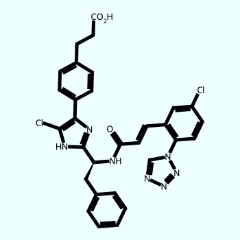 O=C(O)CCc1ccc(-c2nc([C@H](Cc3ccccc3)NC(=O)/C=C/c3cc(Cl)ccc3-n3cnnn3)[nH]c2Cl)cc1